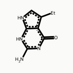 CCc1c[nH]c2[nH]c(N)nc(=O)c12